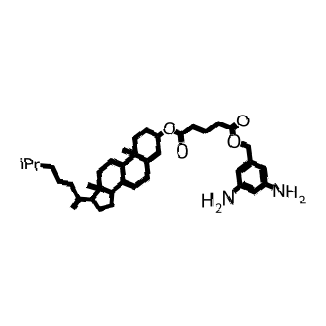 CC(C)CCCC(C)C1CCC2C3CCC4CC(OC(=O)CCCC(=O)OCc5cc(N)cc(N)c5)CCC4(C)C3CCC12C